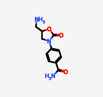 NCC1CN(c2ccc(C(N)=O)cc2)C(=O)O1